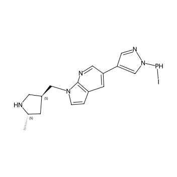 C[C@H]1C[C@H](Cn2ccc3cc(-c4cnn(PI)c4)cnc32)CN1